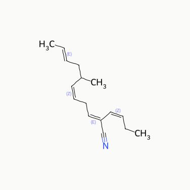 C/C=C/CC(C)/C=C\C/C=C(C#N)\C=C/CC